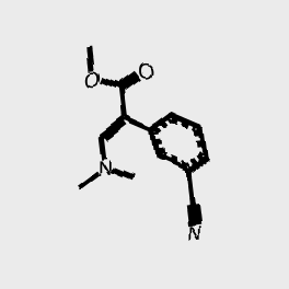 COC(=O)/C(=C/N(C)C)c1cccc(C#N)c1